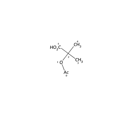 [CH2]C(=O)OC(C)(C)C(=O)O